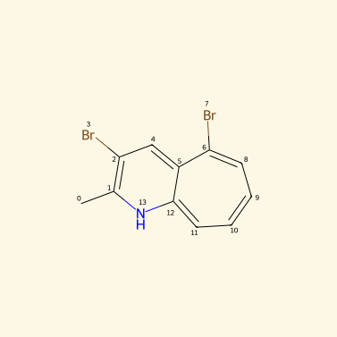 CC1=C(Br)C=C2C(Br)=CC=CC=C2N1